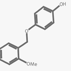 COc1ccccc1COc1ccc(O)cc1